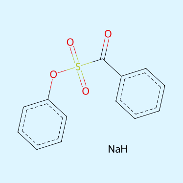 O=C(c1ccccc1)S(=O)(=O)Oc1ccccc1.[NaH]